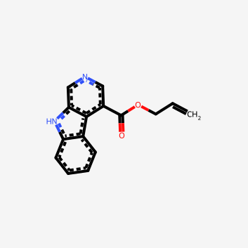 C=CCOC(=O)c1cncc2[nH]c3ccccc3c12